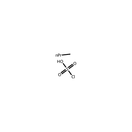 CCCC.O=S(=O)(O)Cl